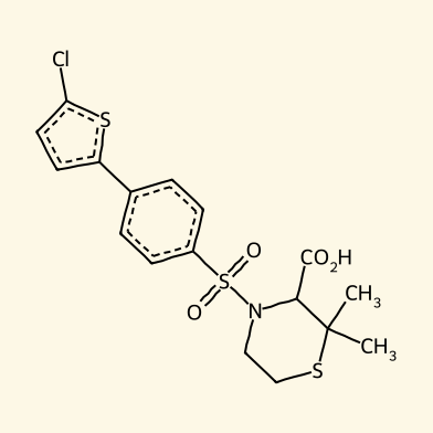 CC1(C)SCCN(S(=O)(=O)c2ccc(-c3ccc(Cl)s3)cc2)C1C(=O)O